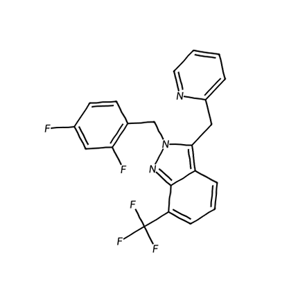 Fc1ccc(Cn2nc3c(C(F)(F)F)cccc3c2Cc2ccccn2)c(F)c1